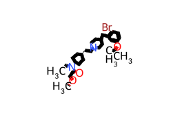 CCN(C(=O)COC)[C@H]1CC[C@H](CCN2CCC(Cc3cc(OC(C)C)ccc3Br)CC2)CC1